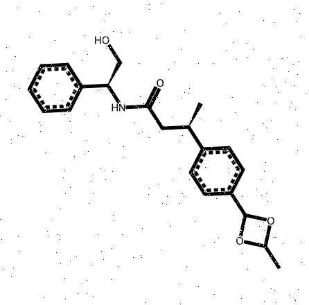 CC1OC(c2ccc([C@H](C)CC(=O)N[C@H](CO)c3ccccc3)cc2)O1